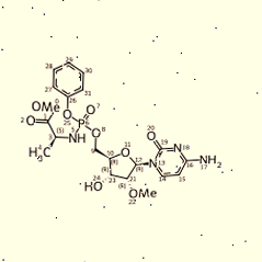 COC(=O)[C@H](C)NP(=O)(OC[C@H]1O[C@@H](n2ccc(N)nc2=O)[C@H](OC)[C@@H]1O)Oc1ccccc1